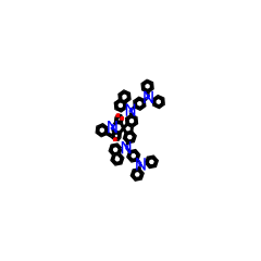 c1ccc(N(c2ccccc2)c2ccc(N(c3ccc4c(c3)C3(c5cc(N(c6ccc(N(c7ccccc7)c7ccccc7)cc6)c6cccc7ccccc67)ccc5-4)c4ccccc4-n4c5ccccc5c5cccc3c54)c3cccc4ccccc34)cc2)cc1